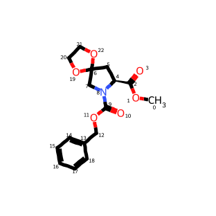 COC(=O)[C@@H]1CC2(CN1C(=O)OCc1ccccc1)OCCO2